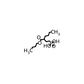 CCCCOC(=O)C(CCCC)CCP(=O)(O)O